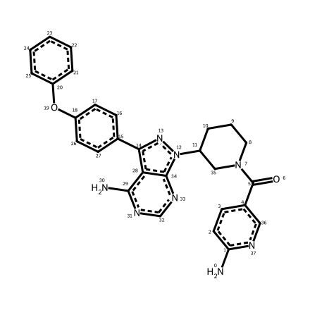 Nc1ccc(C(=O)N2CCCC(n3nc(-c4ccc(Oc5ccccc5)cc4)c4c(N)ncnc43)C2)cn1